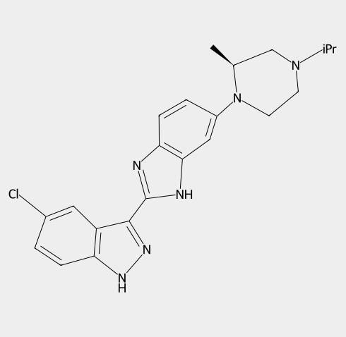 CC(C)N1CCN(c2ccc3nc(-c4n[nH]c5ccc(Cl)cc45)[nH]c3c2)[C@@H](C)C1